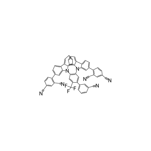 N#Cc1cccc(-c2cc(-n3c4ccccc4c4ccc(-c5ccc(C#N)cc5C#N)cc43)c(-n3c4ccccc4c4ccc(-c5ccc(C#N)cc5C#N)cc43)cc2C(F)(F)F)c1